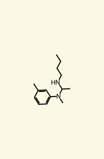 CCCCNC(C)N(C)c1cccc(C)c1